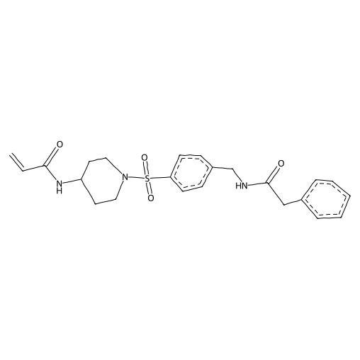 C=CC(=O)NC1CCN(S(=O)(=O)c2ccc(CNC(=O)Cc3ccccc3)cc2)CC1